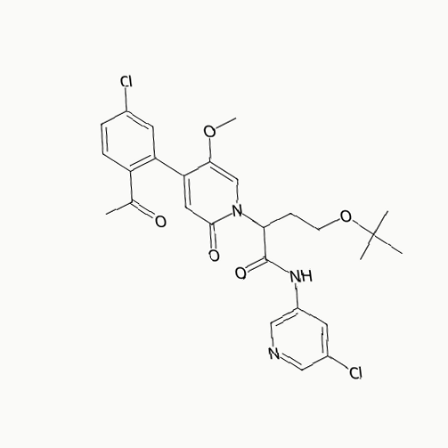 COc1cn(C(CCOC(C)(C)C)C(=O)Nc2cncc(Cl)c2)c(=O)cc1-c1cc(Cl)ccc1C(C)=O